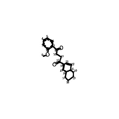 COc1ccccc1C(=O)CCC(=O)C1=CC2CCCCC2C=C1